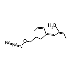 BC(=C/C)/C=C(\C=C/C)CCCON=[N+]=[N-]